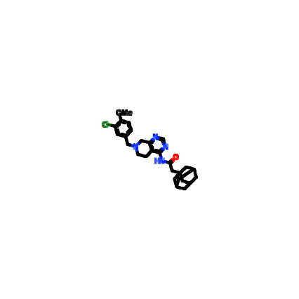 COc1ccc(CN2CCc3c(ncnc3NC(=O)CC34CC5CC(CC(C5)C3)C4)C2)cc1Cl